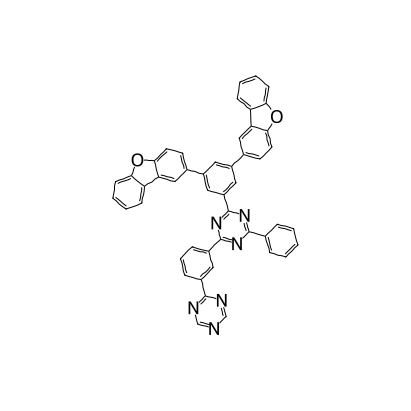 c1ccc(-c2nc(-c3cc(-c4ccc5oc6ccccc6c5c4)cc(-c4ccc5oc6ccccc6c5c4)c3)nc(-c3cccc(-c4ncncn4)c3)n2)cc1